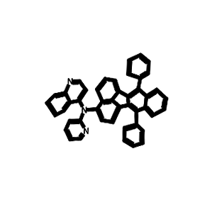 c1ccc(-c2c3c(c(-c4ccccc4)c4ccccc24)-c2ccc(N(c4ccccn4)c4ccnc5ccccc45)c4cccc-3c24)cc1